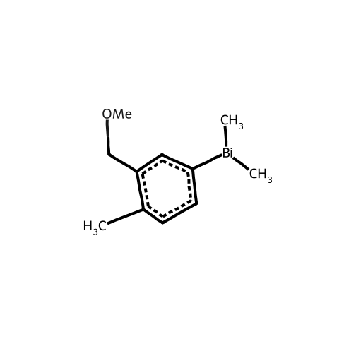 COCc1c[c]([Bi]([CH3])[CH3])ccc1C